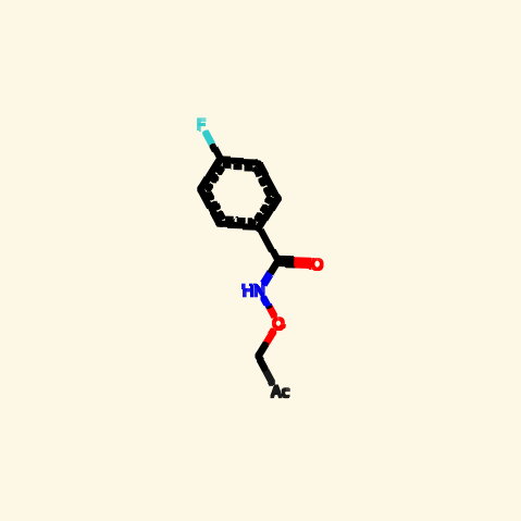 CC(=O)CONC(=O)c1ccc(F)cc1